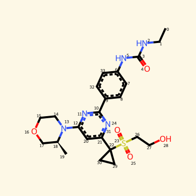 CCNC(=O)Nc1ccc(-c2nc(N3CCOC[C@@H]3C)cc(C3(S(=O)(=O)CCO)CC3)n2)cc1